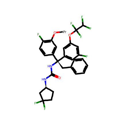 CC(C)Oc1cc([C@@](Cc2ccccc2)(NC(=O)N[C@H]2CCC(F)(F)C2)c2cc(F)cc(OC(F)(F)C(F)F)c2)ccc1F